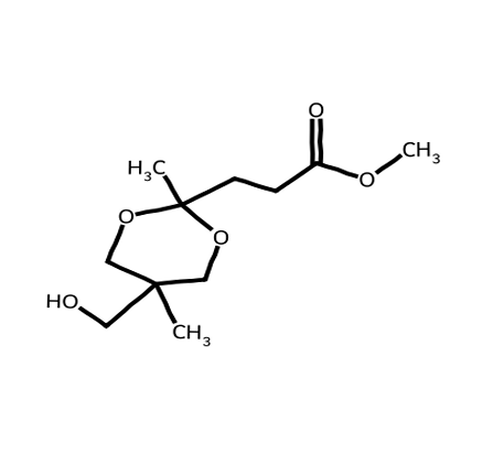 COC(=O)CCC1(C)OCC(C)(CO)CO1